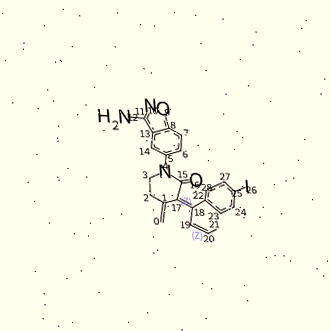 C=C1CCN(c2ccc3onc(N)c3c2)C(=O)/C1=C(/C=C\C)c1ccc(I)cc1